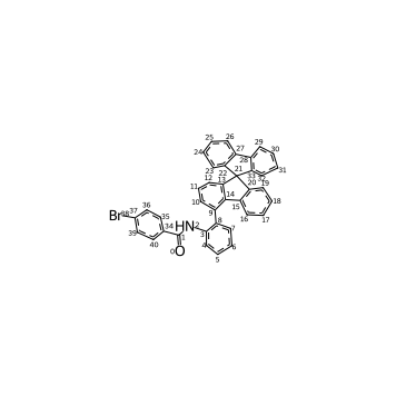 O=C(Nc1ccccc1-c1cccc2c1-c1ccccc1C21c2ccccc2-c2ccccc21)c1ccc(Br)cc1